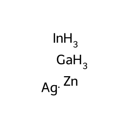 [Ag].[GaH3].[InH3].[Zn]